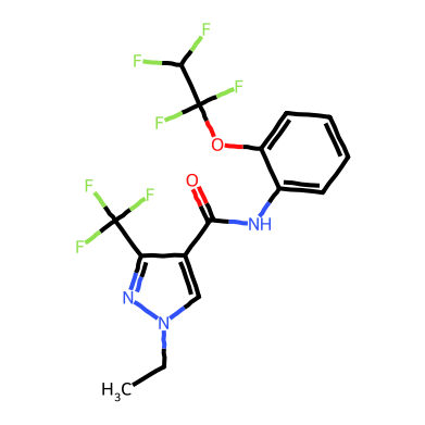 CCn1cc(C(=O)Nc2ccccc2OC(F)(F)C(F)F)c(C(F)(F)F)n1